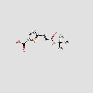 CC(C)(C)OC(=O)/C=C/c1ccc(C(=O)O)s1